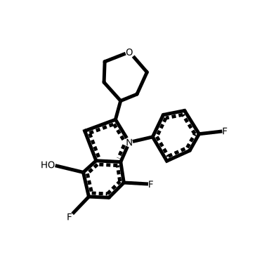 Oc1c(F)cc(F)c2c1cc(C1CCOCC1)n2-c1ccc(F)cc1